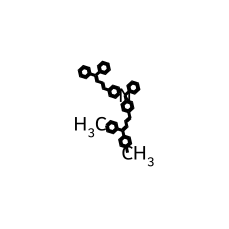 Cc1ccc(C(=CC=Cc2ccc(N(c3ccccc3)c3ccc(C=CC=C(c4ccccc4)c4ccccc4)cc3)cc2)c2ccc(C)cc2)cc1